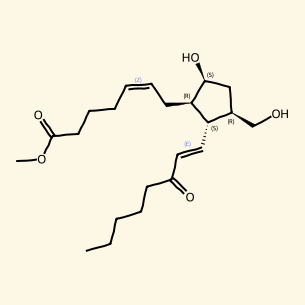 CCCCCC(=O)/C=C/[C@H]1[C@H](CO)C[C@H](O)[C@@H]1C/C=C\CCCC(=O)OC